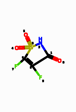 O=C1NS(=O)(=O)C(F)=C1F